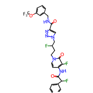 O=C(NCc1cccc(OC(F)(F)F)c1)c1cn(CC(F)CCn2ccc(NC(=O)C(F)c3ccccc3)c(F)c2=O)nn1